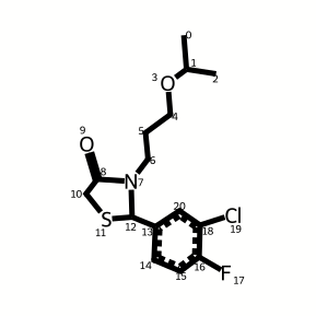 CC(C)OCCCN1C(=O)CSC1c1ccc(F)c(Cl)c1